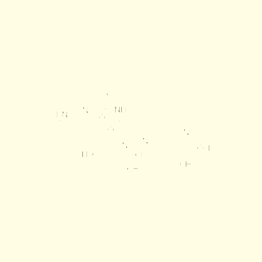 Cc1cc(-c2ccc(C(=O)NS(=O)(=O)c3cccc(N)n3)c(N3C[C@@H](C)CC3(C)C)n2)cnc1O